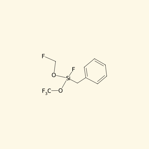 FCO[Si](F)(Cc1ccccc1)OC(F)(F)F